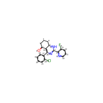 O=C1CCCC2NC(c3ncccc3F)=NC(c3ccccc3Cl)=C12